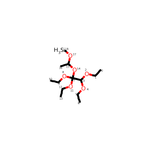 CCOC(OCC)C(OCC)(OCC)OC(C)O[SiH3]